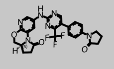 O=C1CCCN1c1ccc(-c2cnc(Nc3cnc4c(c3)N3C(=O)CC[C@H]3CO4)nc2C(F)(F)F)cc1